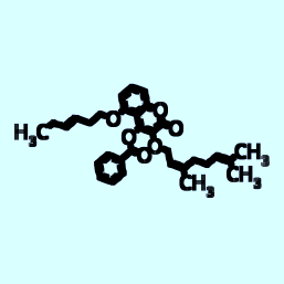 CCC=CCCOc1cccc2oc(=O)c(OCC=C(C)CCC=C(C)C)c(OC(=O)c3ccccc3)c12